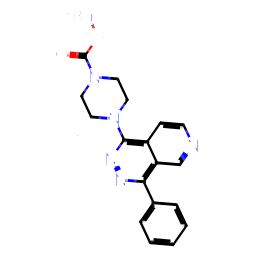 C[C@@H]1CN(C(=O)OC(C)(C)C)CCN1c1nnc(-c2ccccc2)c2cnccc12